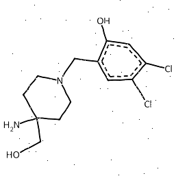 NC1(CO)CCN(Cc2cc(Cl)c(Cl)cc2O)CC1